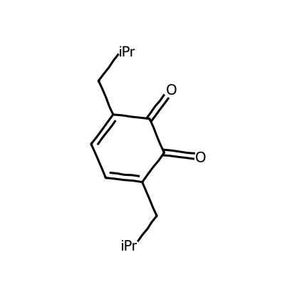 CC(C)CC1=CC=C(CC(C)C)C(=O)C1=O